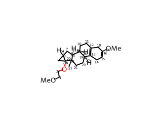 COCCO[C@@]12C[C@@H]1C[C@H]1[C@@H]3CCC4=C(CC=C(OC)C4)[C@H]3CC[C@@]12C